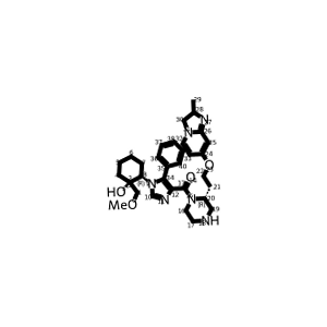 COC[C@]1(O)CCCC[C@H]1n1cnc(C(=O)N2CCNC[C@H]2CCOC2=CC3=NC(C)CN3C=C2)c1-c1ccccc1